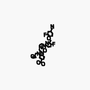 COC(=O)c1ccc2nc(CN3CCN(c4ccc(F)c(COc5ccc(C#N)cc5F)n4)C3=O)n(CC3CCO3)c2c1